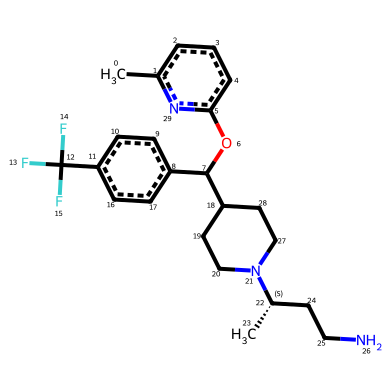 Cc1cccc(OC(c2ccc(C(F)(F)F)cc2)C2CCN([C@@H](C)CCN)CC2)n1